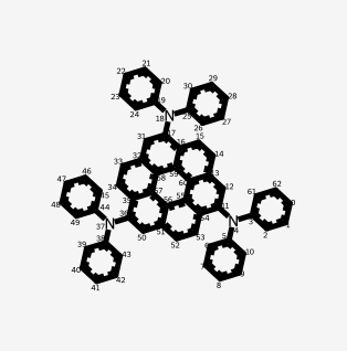 c1ccc(N(c2ccccc2)c2cc3ccc4c(N(c5ccccc5)c5ccccc5)cc5ccc6c(N(c7ccccc7)c7ccccc7)cc7ccc2c2c7c6c5c4c32)cc1